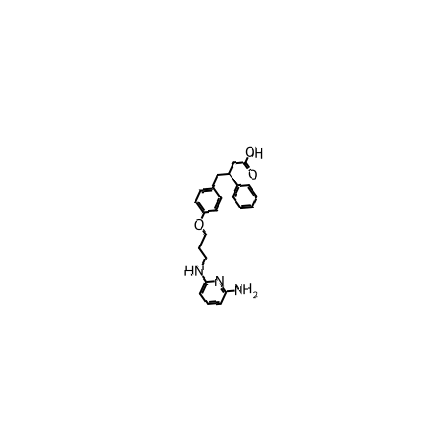 Nc1cccc(NCCCOc2ccc(CC(CC(=O)O)c3ccccc3)cc2)n1